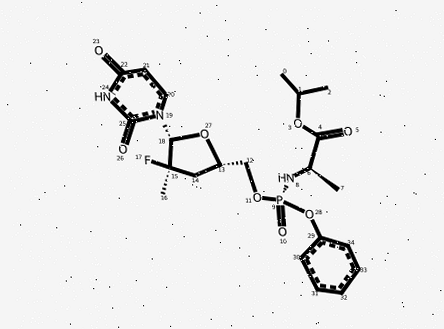 CC(C)OC(=O)[C@@H](C)N[P@](=O)(OC[C@@H]1C[C@@](C)(F)[C@H](n2ccc(=O)[nH]c2=O)O1)Oc1ccccc1